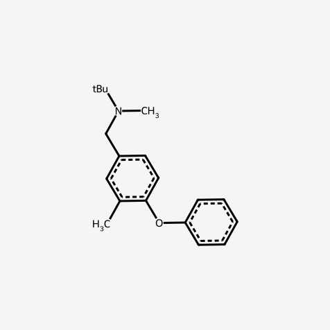 Cc1cc(CN(C)C(C)(C)C)ccc1Oc1ccccc1